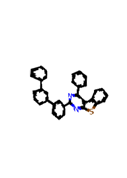 c1ccc(-c2cccc(-c3cccc(-c4nc(-c5ccccc5)c5c(n4)sc4ccccc45)c3)c2)cc1